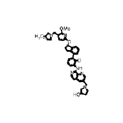 COc1nc(O[C@@H]2CCc3c(-c4cccc(Nc5nccc6cc(CN7CC[C@@H](O)C7)cnc56)c4Cl)cccc32)ccc1CN1CC[C@@H](C)C1